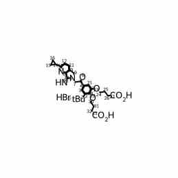 Br.CC(C)(C)c1cc(C(=O)CN2Cc3ccc(C4CC4)nc3C2=N)cc(OCCCC(=O)O)c1OCCCC(=O)O